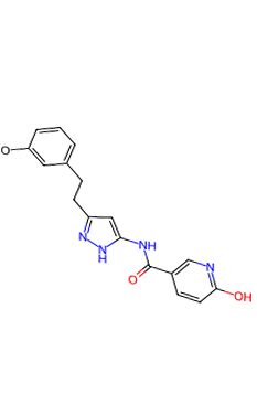 COc1cccc(CCc2cc(NC(=O)c3ccc(O)nc3)[nH]n2)c1